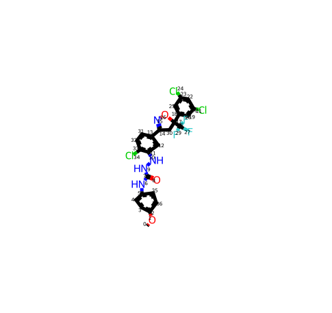 COc1ccc(NC(=O)NNc2cc(C3=NOC(c4cc(Cl)cc(Cl)c4)(C(F)(F)F)C3)ccc2Cl)cc1